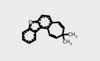 CC1(C)C=Cc2ccc3oc4ccccc4c3c2C=C1